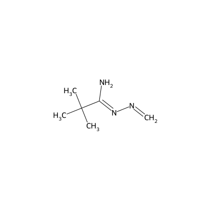 C=N/N=C(\N)C(C)(C)C